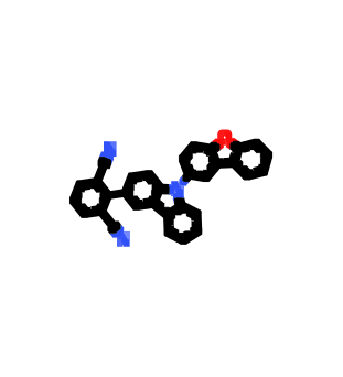 N#Cc1cccc(C#N)c1-c1ccc2c(c1)c1ccccc1n2-c1ccc2oc3ccccc3c2c1